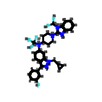 Fc1cccc(-c2nn(CC3CC3)c3cc(N(C4CCN(c5nc6ccccc6n5C(F)F)CC4)C(F)(F)F)ccc23)c1